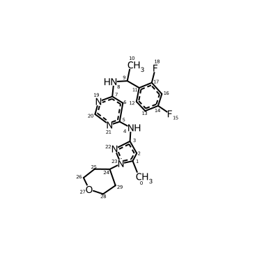 Cc1cc(Nc2cc(NC(C)c3ccc(F)cc3F)ncn2)nn1C1CCOCC1